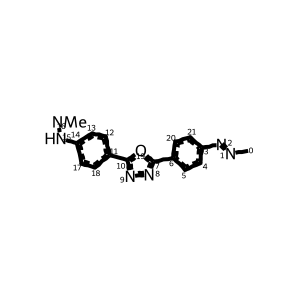 CN=Nc1ccc(-c2nnc(-c3ccc(NNC)cc3)o2)cc1